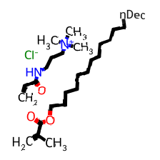 C=C(C)C(=O)OCCCCCCCCCCCCCCCCCCCCCC.C=CC(=O)NCCC[N+](C)(C)C.[Cl-]